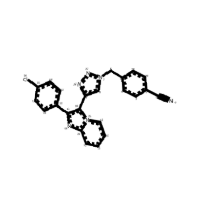 N#Cc1ccc(Cn2cc(-c3c(-c4ccc(Cl)cc4)nc4ccccn34)nn2)cc1